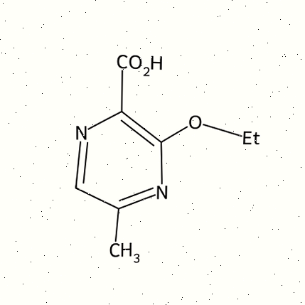 CCOc1nc(C)cnc1C(=O)O